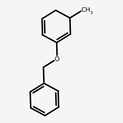 CC1C=C(OCc2ccccc2)C=CC1